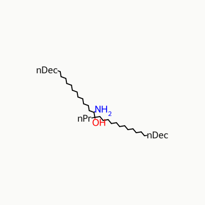 CCCCCCCCCCCCCCCCCCCCCCC(N)C(O)(CCC)CCCCCCCCCCCCCCCCCCCCCC